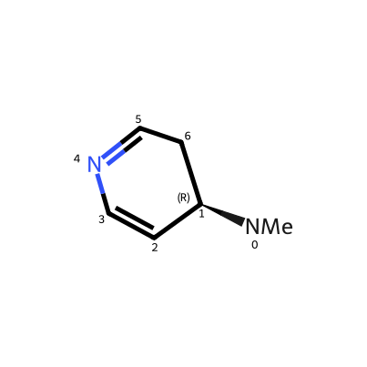 CN[C@H]1C=CN=CC1